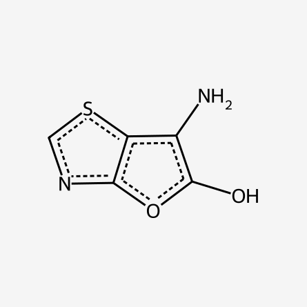 Nc1c(O)oc2ncsc12